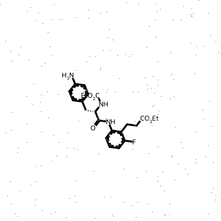 CCOC(=O)CCc1c(F)cccc1NC(=O)[C@H](Cc1ccc(N)cc1)NC(=O)OCC